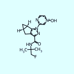 CC(C)(CF)NC(=O)c1nn(-c2c[n+](O)ccn2)c2c1C[C@@H]1C[C@H]21